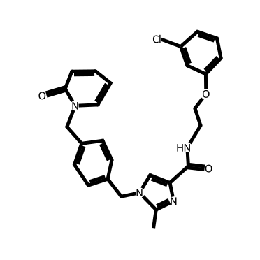 Cc1nc(C(=O)NCCOc2cccc(Cl)c2)cn1Cc1ccc(Cn2ccccc2=O)cc1